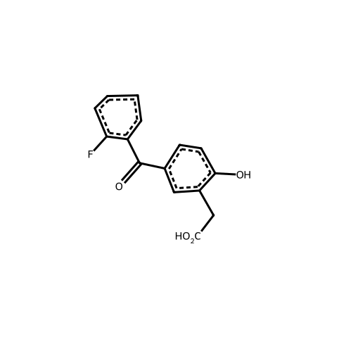 O=C(O)Cc1cc(C(=O)c2ccccc2F)ccc1O